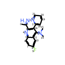 CC(N)c1nc2ccc(F)cc2c(N(C)C)c1-c1ccccn1